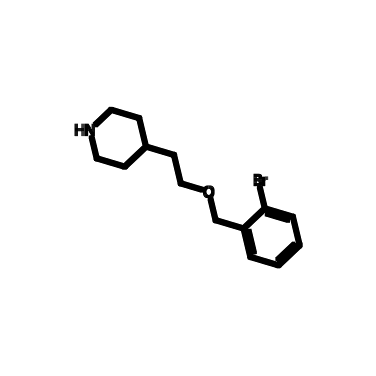 Brc1ccccc1COCCC1CCNCC1